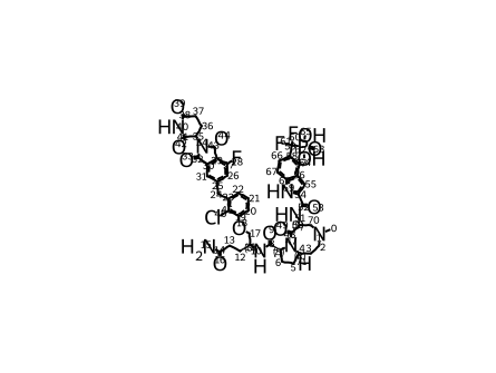 CN1CC[C@H]2CC[C@@H](C(=O)N[C@@H](CCC(N)=O)COc3cccc(Cc4cc(F)c5c(c4)C(=O)N(C4CCC(=O)NC4=O)C5=O)c3Cl)N2C(=O)[C@@H](NC(=O)c2cc3cc(C(F)(F)P(=O)(O)O)ccc3[nH]2)C1